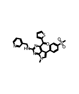 Cn1cc(-c2ccc(S(C)(=O)=O)cc2)c2c(C(=O)c3cccs3)nc(NCc3cccnc3)nc21